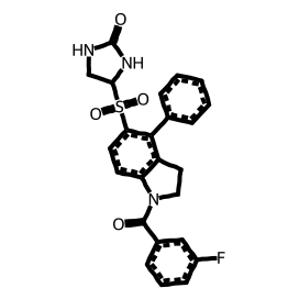 O=C1NCC(S(=O)(=O)c2ccc3c(c2-c2ccccc2)CCN3C(=O)c2cccc(F)c2)N1